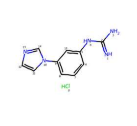 Cl.N=C(N)Nc1cccc(-n2ccnc2)c1